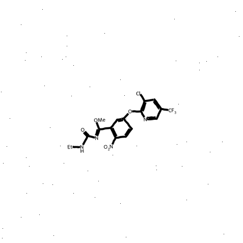 CCNC(=O)N=C(OC)c1cc(Oc2ncc(C(F)(F)F)cc2Cl)ccc1[N+](=O)[O-]